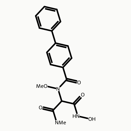 CNC(=O)C(C(=O)NO)N(OC)C(=O)c1ccc(-c2ccccc2)cc1